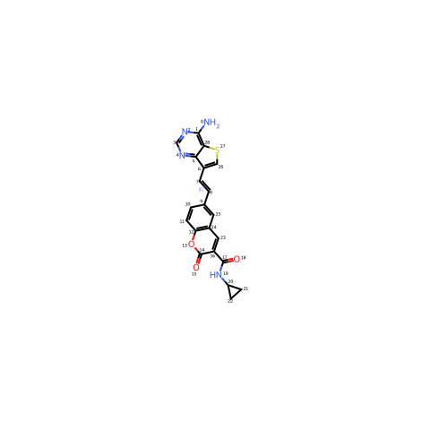 Nc1ncnc2c(/C=C/c3ccc4oc(=O)c(C(=O)NC5CC5)cc4c3)csc12